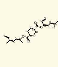 C=C/C(C)=C\C=C(/C)OC(=O)[C@H]1CC[C@H](C(=O)O/C(C=C)=C/C=C(C)C)CC1